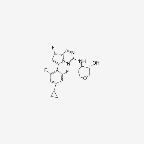 O[C@@H]1COCC[C@H]1Nc1ncc2c(F)cc(-c3c(F)cc(C4CC4)cc3F)n2n1